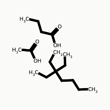 CC(=O)O.CCCC(=O)O.CCCCC(CC)(CC)CC